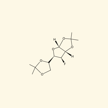 CC1(C)OCC([C@H]2O[C@@H]3OC(C)(C)O[C@@H]3[C@H]2F)O1